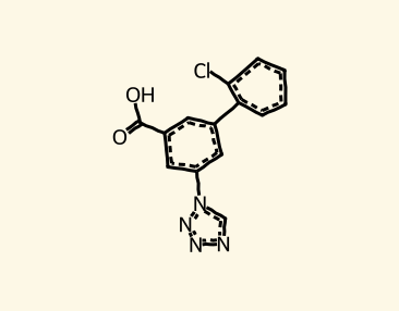 O=C(O)c1cc(-c2ccccc2Cl)cc(-n2cnnn2)c1